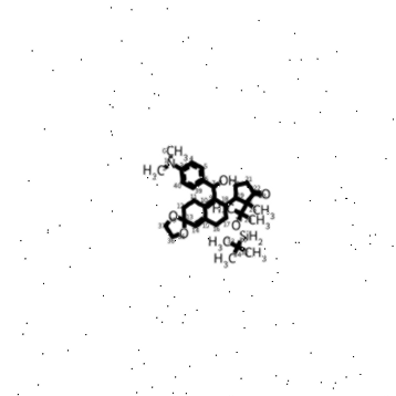 CN(C)c1ccc(C(O)C2=C3CCC4(C=C3CCC2C2CCC(=O)C2(C)C(C)(C)O[SiH2]C(C)(C)C)OCCO4)cc1